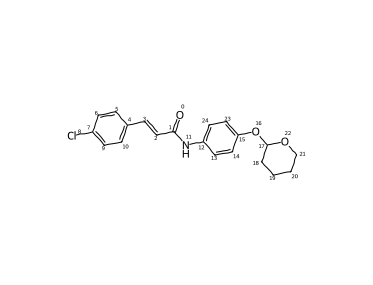 O=C(/C=C/c1ccc(Cl)cc1)Nc1ccc(OC2CCCCO2)cc1